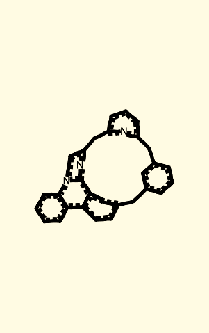 c1cc2cc(c1)Cc1cccc(n1)Cc1cn3c4ccccc4c4ccc(cc4c3n1)C2